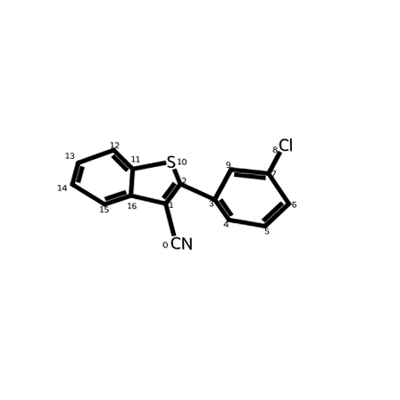 N#Cc1c(-c2cccc(Cl)c2)sc2ccccc12